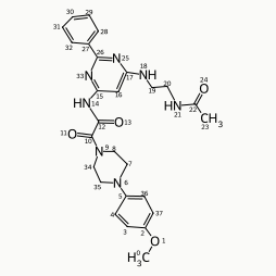 COc1ccc(N2CCN(C(=O)C(=O)Nc3cc(NCCNC(C)=O)nc(-c4ccccc4)n3)CC2)cc1